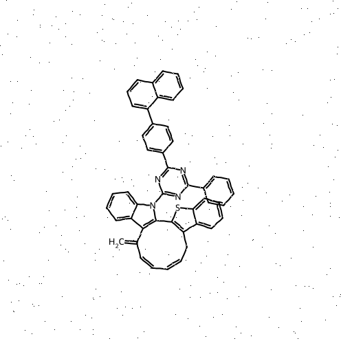 C=C1/C=C\C=C/Cc2c(sc3ccccc23)-c2c1c1ccccc1n2-c1nc(-c2ccccc2)nc(-c2ccc(-c3cccc4ccccc34)cc2)n1